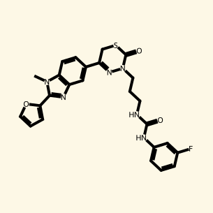 Cn1c(-c2ccco2)nc2cc(C3=NN(CCCNC(=O)Nc4cccc(F)c4)C(=O)SC3)ccc21